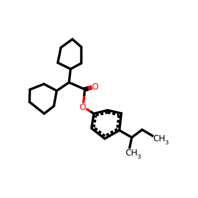 CCC(C)c1ccc(OC(=O)C(C2CCCCC2)C2CCCCC2)cc1